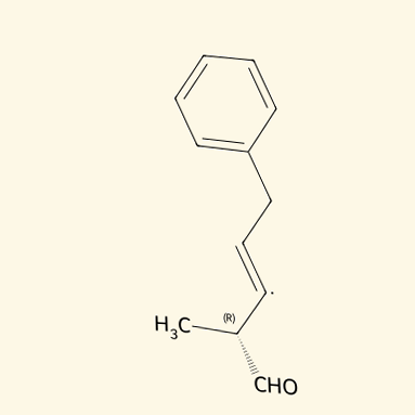 C[C@H]([C]=CCc1ccccc1)C=O